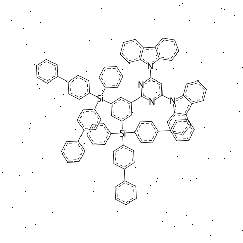 c1ccc(-c2ccc([Si](c3ccccc3)(c3ccc(-c4ccccc4)cc3)c3cc(-c4nc(-n5c6ccccc6c6ccccc65)cc(-n5c6ccccc6c6ccccc65)n4)cc([Si](c4ccccc4)(c4ccc(-c5ccccc5)cc4)c4ccc(-c5ccccc5)cc4)c3)cc2)cc1